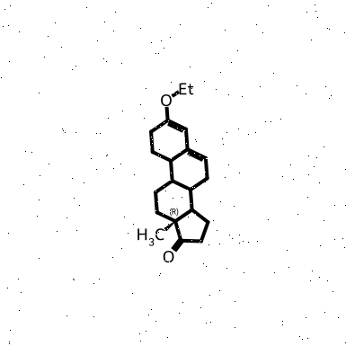 CCOC1=CC2=CCC3C(CC[C@@]4(C)C(=O)CCC34)C2CC1